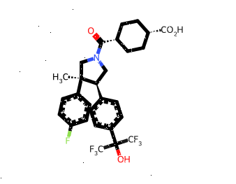 C[C@]1(c2ccc(F)cc2)CN(C(=O)[C@H]2CC[C@@H](C(=O)O)CC2)C[C@H]1c1ccc(C(O)(C(F)(F)F)C(F)(F)F)cc1